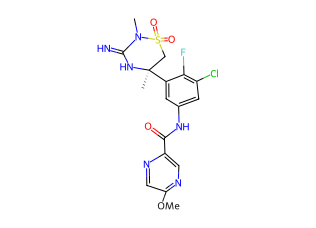 COc1cnc(C(=O)Nc2cc(Cl)c(F)c([C@]3(C)CS(=O)(=O)N(C)C(=N)N3)c2)cn1